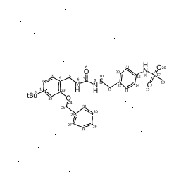 CC(C)(C)c1ccc(CNC(=O)NSCc2ccc(NS(C)(=O)=O)cc2)c(OCc2ccccc2)c1